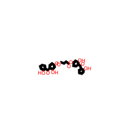 O=C(CCCOOc1ccc(C(=O)c2ccccc2O)c(O)c1)Oc1ccc(C(=O)c2ccccc2O)c(O)c1